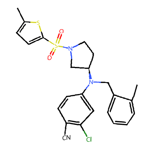 Cc1ccc(S(=O)(=O)N2CC[C@@H](N(Cc3ccccc3C)c3ccc(C#N)c(Cl)c3)C2)s1